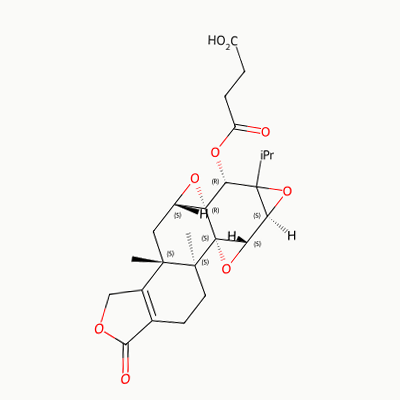 CC(C)C12O[C@H]1[C@@H]1O[C@]13[C@]1(O[C@H]1C[C@@]1(C)C4=C(CC[C@]31C)C(=O)OC4)[C@@H]2OC(=O)CCC(=O)O